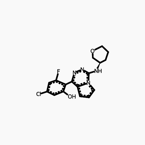 Oc1cc(Cl)cc(F)c1-c1nnc(N[C@@H]2CCCOC2)n2cccc12